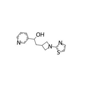 OC(CC1CN(c2nccs2)C1)c1cccnc1